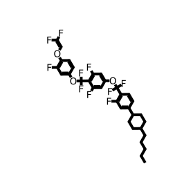 CCCCCC1CCC(c2ccc(C(F)(F)Oc3cc(F)c(C(F)(F)Oc4ccc(OC=C(F)F)c(F)c4)c(F)c3)c(F)c2)CC1